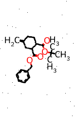 C=C1CCC(C(=O)OC(C)(C)C)C(C(=O)OCc2ccccc2)C1